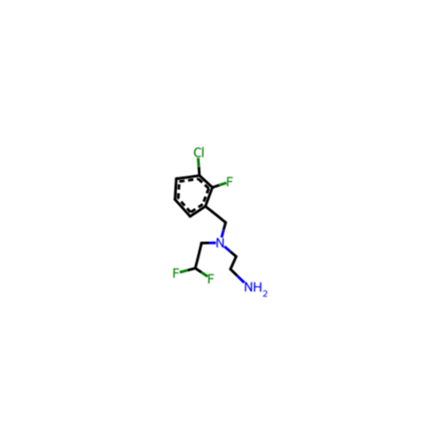 NCCN(Cc1cccc(Cl)c1F)CC(F)F